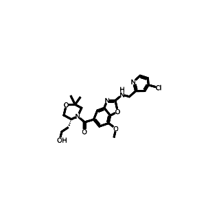 COc1cc(C(=O)N2CC(C)(C)OC[C@H]2CCO)cc2nc(NCc3cc(Cl)ccn3)oc12